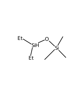 CC[SiH](CC)O[Si](C)(C)C